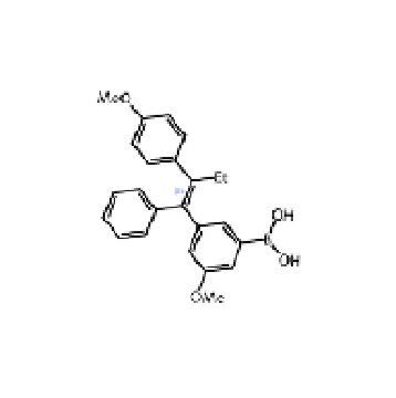 CC/C(=C(/c1ccccc1)c1cc(OC)cc(B(O)O)c1)c1ccc(OC)cc1